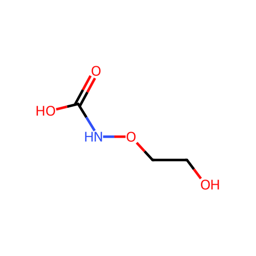 O=C(O)NOCCO